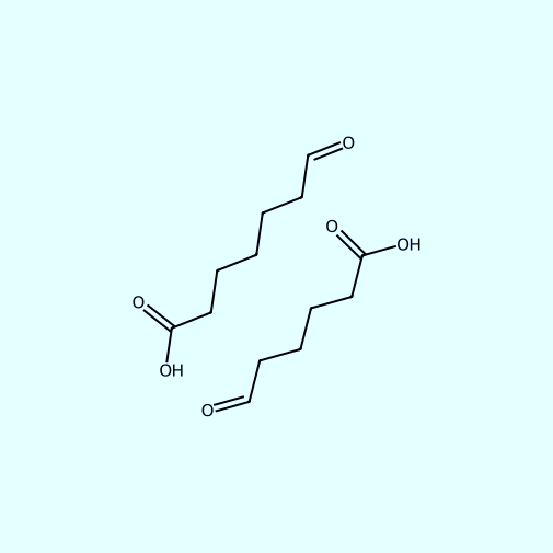 O=CCCCCC(=O)O.O=CCCCCCC(=O)O